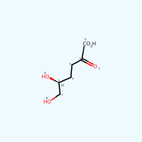 O=C(O)C(=O)CC[C@H](O)CO